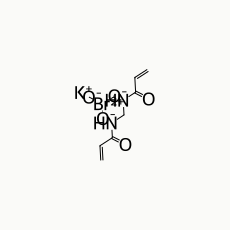 C=CC(=O)NCNC(=O)C=C.[K+].[O-][Br+2]([O-])[O-]